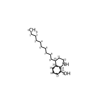 CCCCCCCCCCC1CCNc2c(O)cccc21